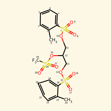 Cc1ccccc1S(=O)(=O)OCC(COS(=O)(=O)c1ccccc1C)OS(=O)(=O)C(F)(F)F